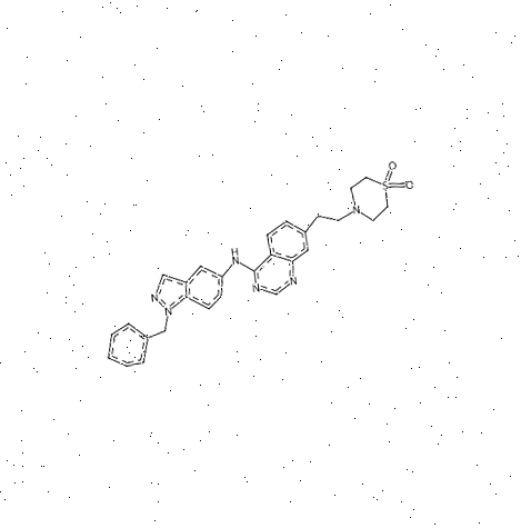 O=S1(=O)CCN(CCc2ccc3c(Nc4ccc5c(cnn5Cc5ccccc5)c4)ncnc3c2)CC1